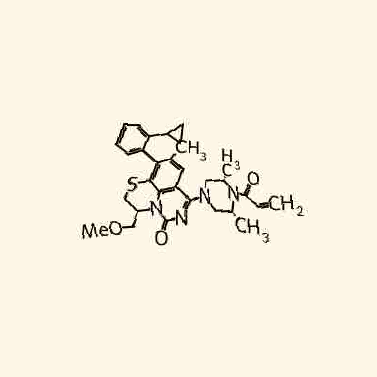 C=CC(=O)N1[C@H](C)CN(c2nc(=O)n3c4c(c(-c5ccccc5C5CC5)c(C)cc24)SC[C@@H]3COC)C[C@@H]1C